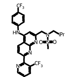 CC(C)CN(Cc1cc(Nc2ccc(C(F)(F)F)cc2)c2ccc(-c3ncccc3C(F)(F)F)nc2n1)S(C)(=O)=O